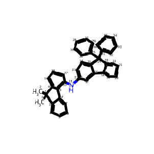 CC1(C)c2ccccc2-c2c(Nc3ccc4c(c3)-c3ccccc3C4(c3ccccc3)c3ccccc3)cccc21